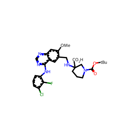 COc1cc2ncnc(Nc3cccc(Cl)c3F)c2cc1CNC1(C(=O)O)CCCN(C(=O)OC(C)(C)C)C1